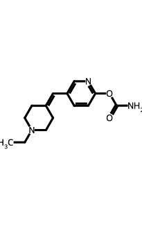 CCN1CCC(=Cc2ccc(OC(N)=O)nc2)CC1